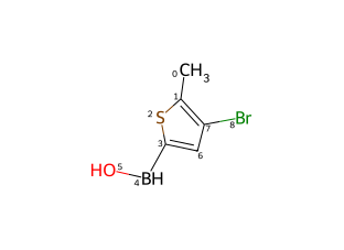 Cc1sc(BO)cc1Br